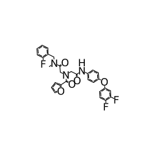 CN(Cc1ccccc1F)C(=O)CN(CC(=O)Nc1ccc(Oc2ccc(F)c(F)c2)cc1)C(=O)c1ccco1